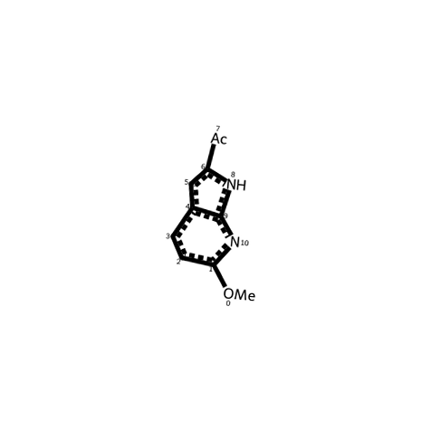 COc1ccc2cc(C(C)=O)[nH]c2n1